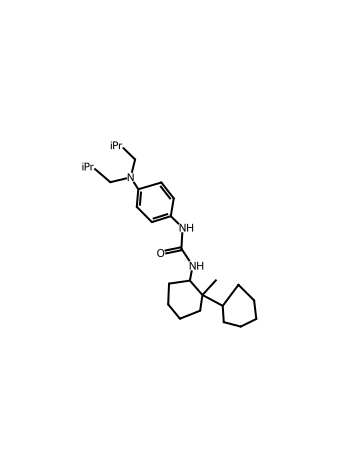 CC(C)CN(CC(C)C)c1ccc(NC(=O)NC2CCCCC2(C)C2CCCCC2)cc1